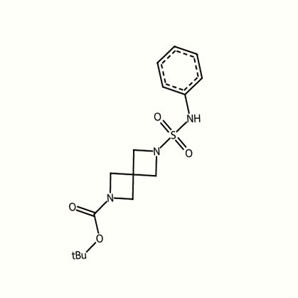 CC(C)(C)OC(=O)N1CC2(C1)CN(S(=O)(=O)Nc1ccccc1)C2